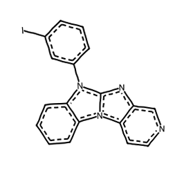 Ic1cccc(-n2c3ccccc3n3c4ccncc4nc23)c1